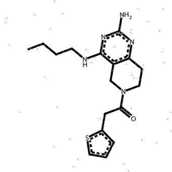 CCCCNc1nc(N)nc2c1CN(C(=O)Cc1cccs1)CC2